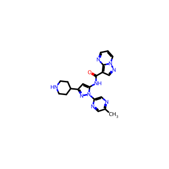 Cc1cnc(-n2nc(C3CCNCC3)cc2NC(=O)c2cnn3cccnc23)cn1